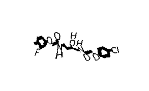 Cc1ccc(OCC(=O)NCC[C@H](O)CNC(=O)COc2ccc(Cl)cc2)cc1F